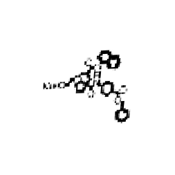 COCCOCC(CC1(C(=O)NC2CCC(C(=O)OCc3ccccc3)CC2)CCCC1)C(=O)Oc1cccc2ccccc12